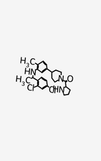 Cc1ccc(C2CCN(C(=O)C3CCCN3)CC2)cc1NC(C)c1ccc(Cl)cc1Cl